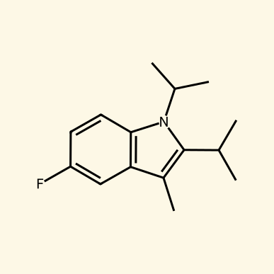 Cc1c(C(C)C)n(C(C)C)c2ccc(F)cc12